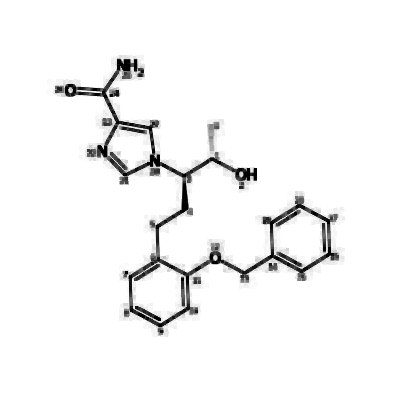 C[C@H](O)[C@@H](CCc1ccccc1OCc1ccccc1)n1cnc(C(N)=O)c1